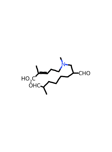 CC(=CCCN(C)CC(C=O)CCCCC(C)C=O)C(=O)O